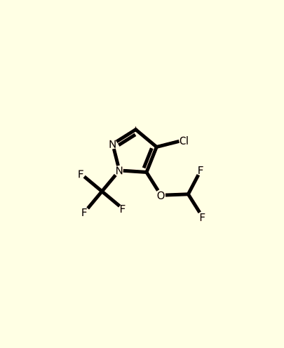 FC(F)Oc1c(Cl)[c]nn1C(F)(F)F